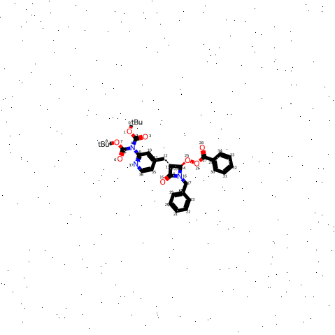 CC(C)(C)OC(=O)N(C(=O)OC(C)(C)C)c1cc(C[C@H]2C(=O)N(Cc3ccccc3)[C@@H]2OOC(=O)c2ccccc2)ccn1